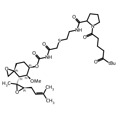 CO[C@H]1[C@H](C2(C)O[C@@H]2CC=C(C)C)[C@]2(CC[C@H]1OC(=O)NC(=O)CSCCNC(=O)C1CCCN1C(=O)CCCC(=O)C(C)(C)C)CO2